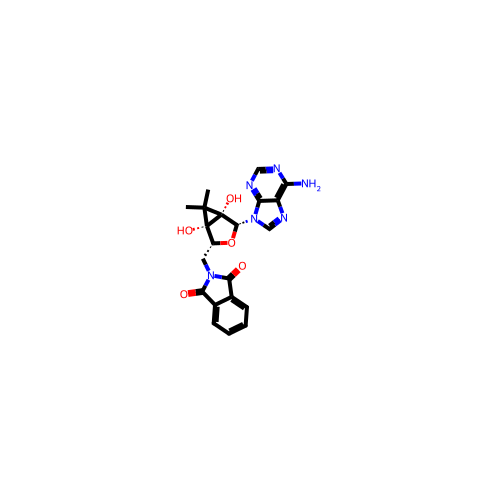 CC1(C)[C@]2(O)[C@@H](CN3C(=O)c4ccccc4C3=O)O[C@@H](n3cnc4c(N)ncnc43)[C@]12O